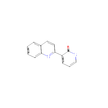 O=c1[nH]cccc1-c1ccc2ccccc2n1